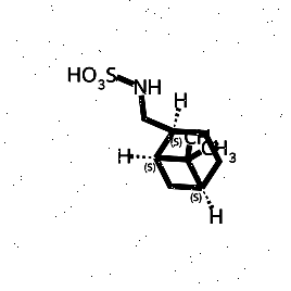 CC1(C)[C@H]2CC[C@H](CNS(=O)(=O)O)[C@@H]1C2